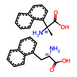 C[C@](N)(C(=O)O)c1cccc2ccccc12.N[C@@H](Cc1cccc2ccccc12)C(=O)O